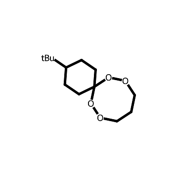 CC(C)(C)C1CCC2(CC1)OOCCCOO2